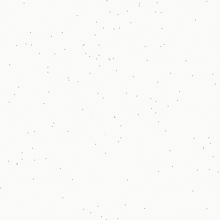 O=C1CN=C(c2ccccc2F)c2cc(I)ccc2N1CC(O)CO